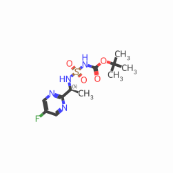 C[C@H](NS(=O)(=O)NC(=O)OC(C)(C)C)c1ncc(F)cn1